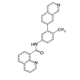 Cc1ccc(NC(=O)c2cccc3cccnc23)cc1-c1ccc2ccncc2c1